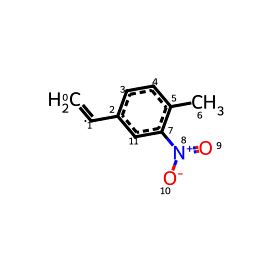 C=[C]c1ccc(C)c([N+](=O)[O-])c1